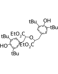 CCOC(=O)C(Cc1cc(C(C)(C)C)c(O)c(C(C)(C)C)c1)OC(Cc1cc(C(C)(C)C)c(O)c(C(C)(C)C)c1)C(=O)OCC